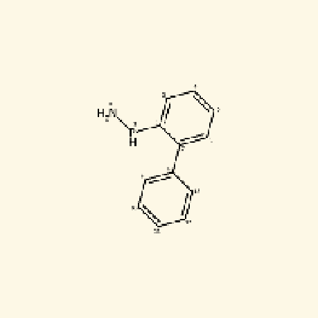 NPc1ccccc1-c1ccccc1